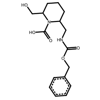 O=C(NCC1CCCC(CO)N1C(=O)O)OCc1ccccc1